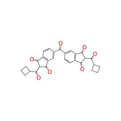 O=C(c1ccc2c(c1)C(=O)C(C(=O)C1CCC1)C2=O)c1ccc2c(c1)C(=O)C(C(=O)C1CCC1)C2=O